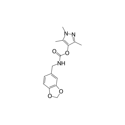 Cc1nn(C)c(C)c1OC(=O)NCc1ccc2c(c1)OCO2